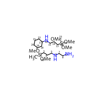 CO[Si](C)(CCCNCCN)OC.CO[Si](CCCNC1CCCCC1)(OC)OC